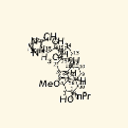 CCC[C@@]1(O)CC[C@@]2(COC)[C@H](CC[C@H]3[C@@H]4CC[C@H](C(C)Cn5nnnc5C)[C@@]4(C)CC[C@@H]32)C1